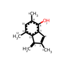 C=C1C(C)=Cc2c(O)c(C)cc(C)c21